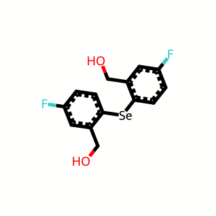 OCc1cc(F)ccc1[Se]c1ccc(F)cc1CO